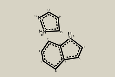 c1ccc2[nH]ccc2c1.c1cn[nH]c1